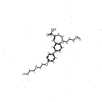 CCCCOCCOc1ccc(-c2ccc3c(c2)C=C(C(=O)O)CCN3CCCOC)cc1